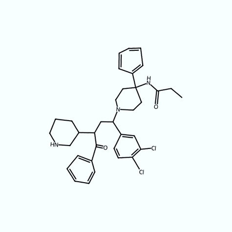 CCC(=O)NC1(c2ccccc2)CCN(C(CC(C(=O)c2ccccc2)C2CCCNC2)c2ccc(Cl)c(Cl)c2)CC1